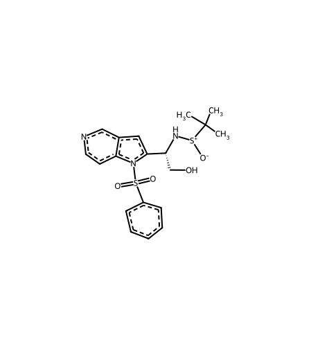 CC(C)(C)[S+]([O-])N[C@H](CO)c1cc2cnccc2n1S(=O)(=O)c1ccccc1